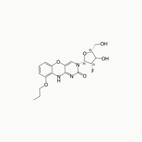 CCCOc1cccc2c1Nc1nc(=O)n([C@@H]3O[C@H](CO)C(O)[C@@H]3F)cc1O2